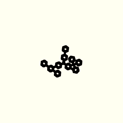 c1ccc(-c2ccc(N(c3ccc(-c4cc(-c5ccccc5)ccc4-c4ccccc4)cc3)c3ccc4c(c3)C(c3ccccc3)(c3ccccc3)c3ccccc3-4)cc2)cc1